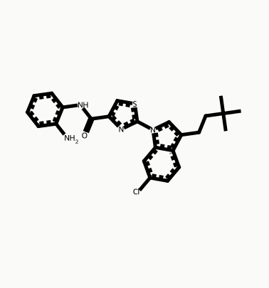 CC(C)(C)CCc1cn(-c2nc(C(=O)Nc3ccccc3N)cs2)c2cc(Cl)ccc12